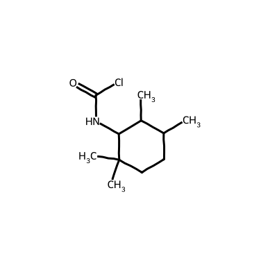 CC1CCC(C)(C)C(NC(=O)Cl)C1C